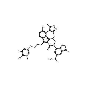 Cc1cc(OCCCc2c3n(c4c(-c5c(C)n[nH]c5C)c(Cl)ccc24)C(C)CN(c2cc(C(=O)O)cc4c2ccn4C)C3=O)cc(C)c1Cl